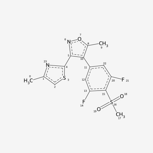 Cc1csc(-c2noc(C)c2-c2cc(F)c(S(C)(=O)=O)c(F)c2)n1